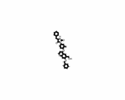 O=C1NC(Cc2ccccc2)C(=O)N1c1ccc(Oc2ccnc3cc(OCc4ccccc4)c(CO)cc23)c(F)c1